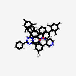 Cc1cc(C)c(-c2ccc3c(c2)c2cc(-c4c(C)cc(C)cc4C)ccc2n3-c2c(-c3nc(-c4ccccc4)nc(-c4ccccc4)n3)cc(C#N)cc2-c2cnccc2-n2c3ccccc3c3ccccc32)c(C)c1